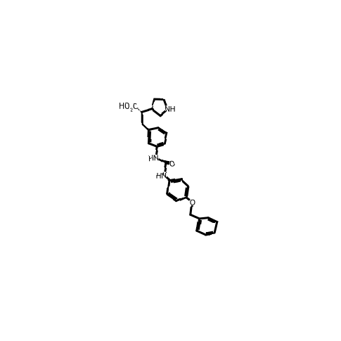 O=C(Nc1ccc(OCc2ccccc2)cc1)Nc1cccc(C[C@H](C(=O)O)[C@H]2CCNC2)c1